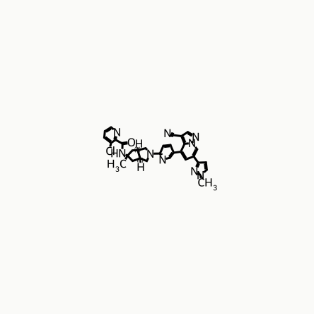 Cn1ccc(-c2cc(-c3ccc(N4C[C@@H]5CC(C)(NC(=O)c6ncccc6Cl)C[C@@H]5C4)nc3)c3c(C#N)cnn3c2)n1